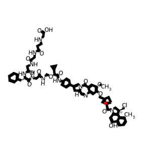 COc1cc2c(cc1OCC13CC(C1)C(C(=O)N1C[C@@H](CCl)c4c1cc(O)c1cccc(C)c41)C3)N=C[C@@H]1CC(c3ccc(NC(=O)[C@@H](OCNC(=O)CNC(=O)[C@H](Cc4ccccc4)NC(=O)CNC(=O)CNC(=O)CCNCC(=O)O)C4CC4)cc3)=CN1C2=O